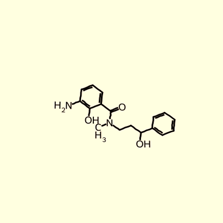 CN(CCC(O)c1ccccc1)C(=O)c1cccc(N)c1O